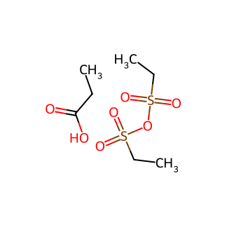 CCC(=O)O.CCS(=O)(=O)OS(=O)(=O)CC